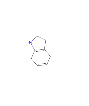 C1=CCC2=C(C1)CC[N]2